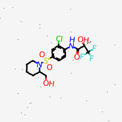 C[C@@](O)(C(=O)Nc1ccc(S(=O)(=O)N2CCCCC2CO)cc1Cl)C(F)(F)F